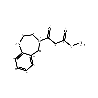 COC(=O)CC(=O)N1CCSc2ccccc2C1